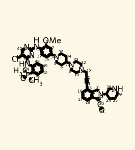 COc1cc(N2CCC(N3CCN(CC#Cc4cccc5c4CN(C4CCCNC4)C5=C=O)CC3)CC2)ccc1Nc1ncc(Cl)c(Nc2ccccc2P(C)(C)=O)n1